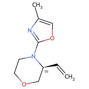 C=C[C@H]1COCCN1c1nc(C)co1